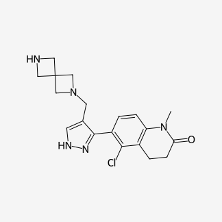 CN1C(=O)CCc2c1ccc(-c1n[nH]cc1CN1CC3(CNC3)C1)c2Cl